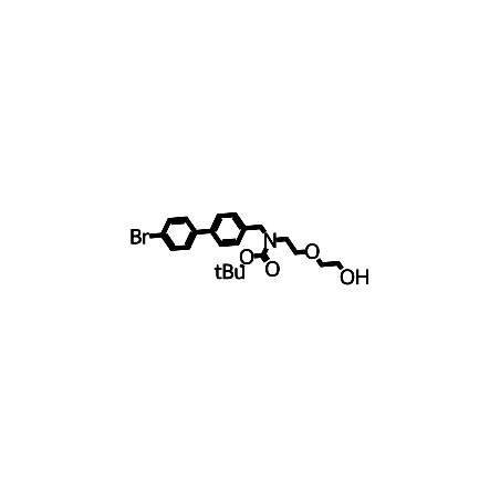 CC(C)(C)OC(=O)N(CCOCCO)Cc1ccc(-c2ccc(Br)cc2)cc1